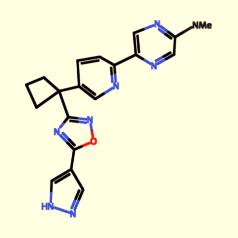 CNc1cnc(-c2ccc(C3(c4noc(-c5cn[nH]c5)n4)CCC3)cn2)cn1